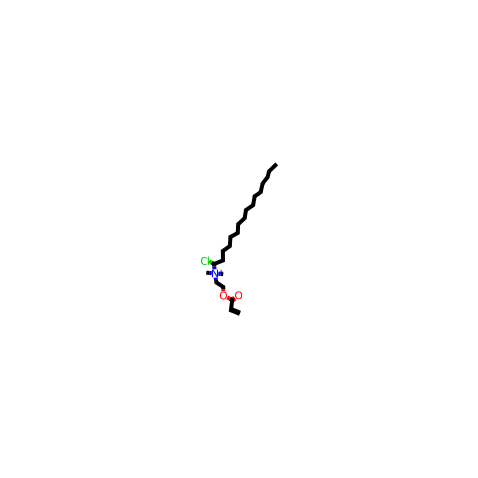 C=CC(=O)OCC[N+](C)(C)C(Cl)CCCCCCCCCCCCCCC